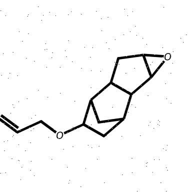 C=CCOC1CC2CC1C1CC3OC3C21